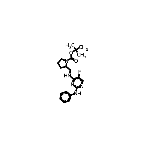 CC(C)(C)OC(=O)N1CCCC1CNc1nc(Nc2ccccc2)ncc1F